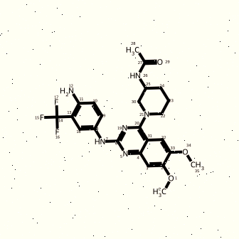 COc1cc2nc(Nc3ccc(N)c(C(F)(F)F)c3)nc(N3CCCC(NC(C)=O)C3)c2cc1OC